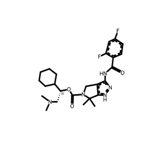 CN(C)C[C@@H](OC(=O)N1Cc2c(NC(=O)c3ccc(F)cc3F)n[nH]c2C1(C)C)C1CCCCC1